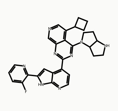 Fc1cccnc1-c1cc2c(-c3nc(N4CCC5NCCC54)c4c(C5CCC5)cncc4n3)ccnc2[nH]1